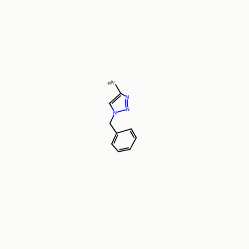 CCCc1cn(Cc2ccccc2)nn1